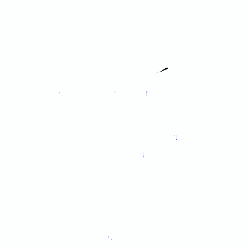 Cc1cc([C@@H](C)Nc2cccnc2C(=O)NCc2ccc3[nH]ccc3c2)c2oc(-c3cc#ccc3)c(C)c(=O)c2c1